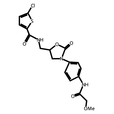 COCC(=O)Nc1ccc(N2CC(CNC(=O)c3ccc(Cl)s3)OC2=O)cc1